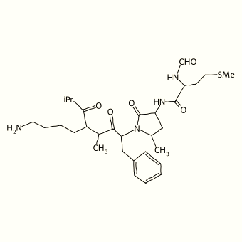 CSCCC(NC=O)C(=O)NC1CC(C)N(C(Cc2ccccc2)C(=O)C(C)C(CCCCN)C(=O)C(C)C)C1=O